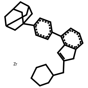 [CH]1C(CC2CCCCC2)=Cc2c1cccc2-c1ccc(C23CC4CC(CC(C4)C2)C3)cc1.[Zr]